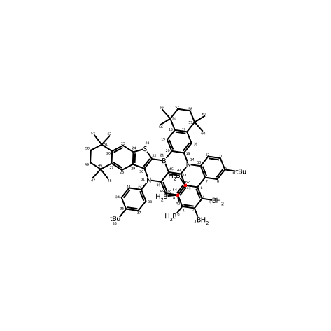 Bc1c(B)c(B)c(-c2cc(C(C)(C)C)ccc2N2c3cc4c(cc3B3c5sc6cc7c(cc6c5N(c5ccc(C(C)(C)C)cc5)c5cc(C)cc2c53)C(C)(C)CCC7(C)C)C(C)(C)CCC4(C)C)c(B)c1B